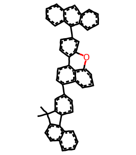 CC1(C)c2cc(-c3ccc4c5c(cccc35)Oc3cc(-c5c6ccccc6cc6ccccc56)ccc3-4)ccc2-c2c1ccc1ccccc21